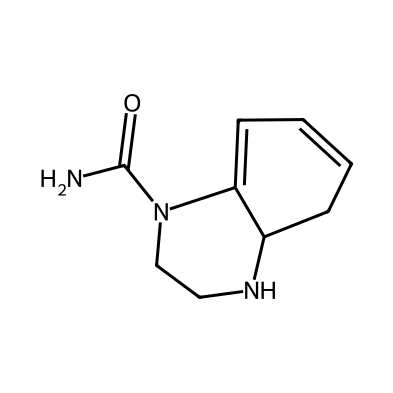 NC(=O)N1CCNC2CC=CC=C21